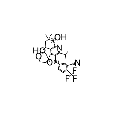 CC(C)c1nc2c(c3c1[C@@H](c1ccc(C(F)(F)F)c(C#N)c1)OC31CCOCC1)C(O)CC(C)(C)[C@H]2O